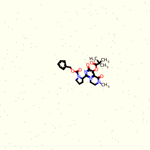 CN1CCn2c(C3CCCN3C(=O)OCc3ccccc3)nc(=O)c(OC(=O)C(C)(C)C)c2C1=O